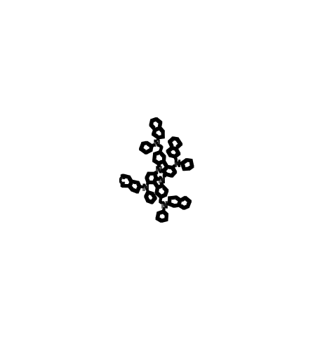 c1ccc(N(Cc2ccc3c(c2)c2c(N(c4ccccc4)c4ccc5ccccc5c4)ccc4c2n3c2ccc(N(c3ccccc3)c3ccc5ccccc5c3)c3c5cc(CN(c6ccccc6)c6ccc7ccccc7c6)ccc5n4c32)c2ccc3ccccc3c2)cc1